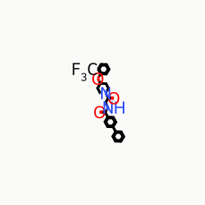 O=C(NCC(=O)N1CCC(Oc2ccccc2C(F)(F)F)CC1)c1ccc(-c2ccccc2)cc1